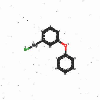 [Br][Mg][c]1cccc(Oc2ccccc2)c1